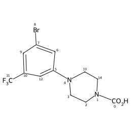 O=C(O)N1CCN(c2cc(Br)cc(C(F)(F)F)c2)CC1